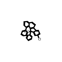 OC1(c2ccccc2)c2cc(Cl)ccc2-c2ccc3cccc(-c4ccccc4)c3c21